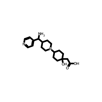 NC(c1ccncc1)C1CCN(C2CCC(O)(CC(=O)O)CC2)CC1